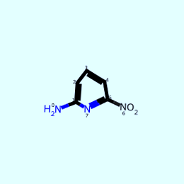 Nc1cccc([N+](=O)[O-])n1